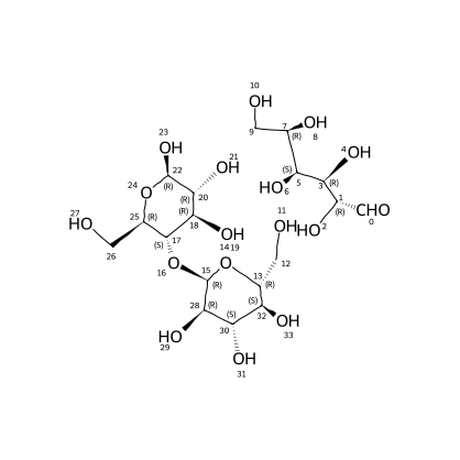 O=C[C@H](O)[C@H](O)[C@@H](O)[C@H](O)CO.OC[C@H]1O[C@H](O[C@H]2[C@H](O)[C@@H](O)[C@H](O)O[C@@H]2CO)[C@H](O)[C@@H](O)[C@@H]1O